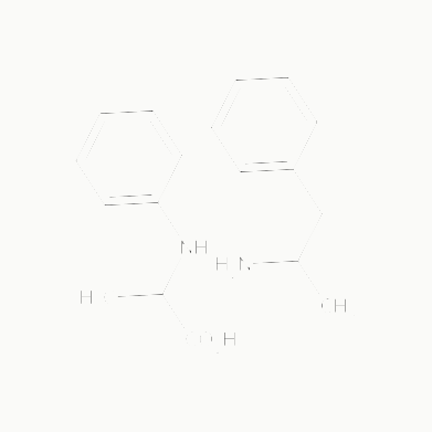 CC(N)Cc1ccccc1.CC(Nc1ccccc1)C(=O)O